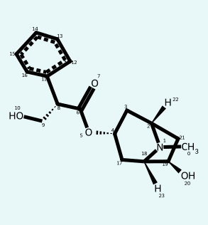 CN1[C@@H]2C[C@@H](OC(=O)[C@H](CO)c3ccccc3)C[C@H]1[C@H](O)C2